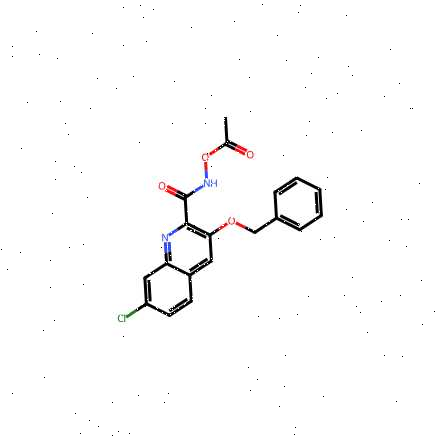 CC(=O)ONC(=O)c1nc2cc(Cl)ccc2cc1OCc1ccccc1